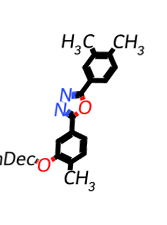 CCCCCCCCCCOc1cc(-c2nnc(-c3ccc(C)c(C)c3)o2)ccc1C